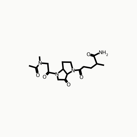 CC(=O)N(C)CC(=O)N1CC(=O)C2C1CCN2C(=O)[CH]CC(C)C(N)=O